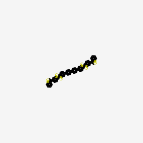 c1ccc2c(-c3ccc4c(c3)sc3c5ccc(-c6ccc(-c7ccc(-c8ccc9c(c8)sc8c%10ccc(-c%11csc%12ccccc%11%12)cc%10sc98)cc7)cc6)cc5sc43)csc2c1